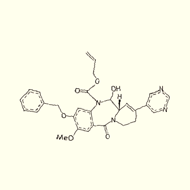 C=CCOC(=O)N1c2cc(OCc3ccccc3)c(OC)cc2C(=O)N2CCC(c3cncnc3)=C[C@H]2C1O